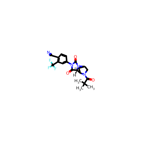 CC(C)(C)C(=O)N1CC2CC1[C@@H]1C(=O)N(c3ccc(C#N)c(C(F)(F)F)c3)C(=O)N21